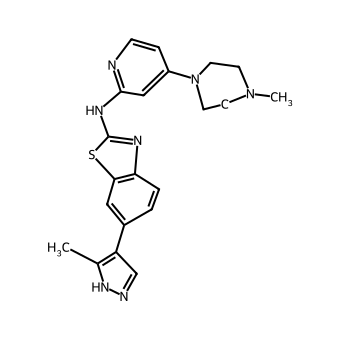 Cc1[nH]ncc1-c1ccc2nc(Nc3cc(N4CCN(C)CC4)ccn3)sc2c1